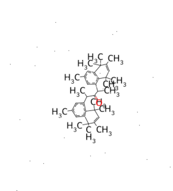 CC1=CC(C)(C)c2c(C(C)C(=O)C(C)c3cc(C)cc4c3C(C)(C)C=C(C)C4(C)C)cc(C)cc2C1(C)C